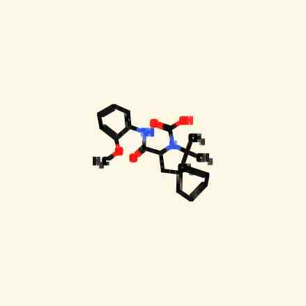 COc1ccccc1NC(=O)C(Cc1ccccc1)N(C(=O)O)C(C)(C)C